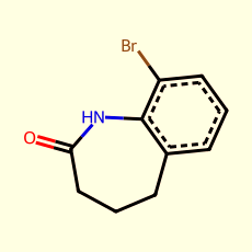 O=C1CCCc2cccc(Br)c2N1